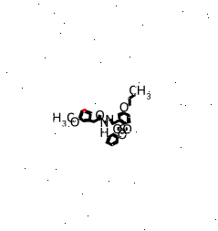 CCCCOc1ccc(S(=O)(=O)Oc2ccccc2)c(C=NNC(=O)Cc2cccc(OC)c2)c1